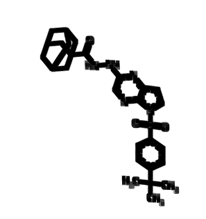 CC(C)(C)c1ccc(S(=O)(=O)n2ccc3nc(NNC(=O)C45CC6CC(CC(C6)C4)C5)cnc32)cc1